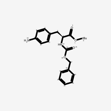 CC(C)(C)OC(=O)[C@H](Cc1ccc(N)cc1)NC(=O)OCc1ccccc1